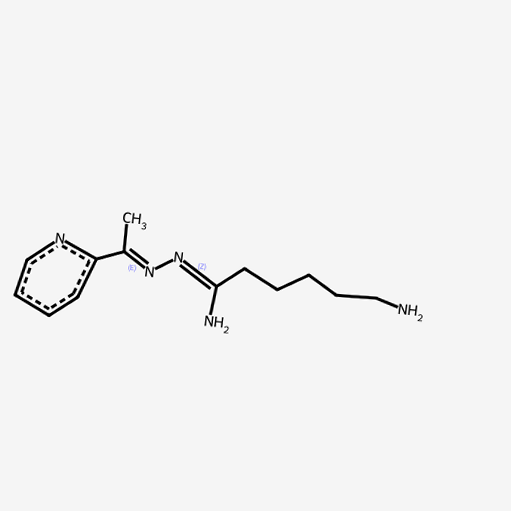 C/C(=N\N=C(/N)CCCCCN)c1ccccn1